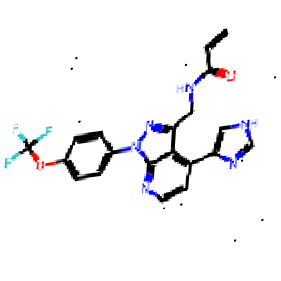 C=CC(=O)NCc1nn(-c2ccc(OC(F)(F)F)cc2)c2nccc(-c3c[nH]cn3)c12